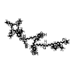 CC(C)(C)OC(=O)CC[C@H](CC(=O)C[C@H](CCCCNC(=O)CCCCC[N+]1=C(/C=C/C=C2/N(CCCCCC(=O)N[C@@H](CCCN=[N+]=[N-])C(=O)Nc3ccc(CC4CN(CC(=O)OC(C)(C)C)CCN(CC(=O)OC(C)(C)C)CCN(CC(=O)OC(C)(C)C)CCN4CC(=O)OC(C)(C)C)cc3)c3ccc(S(=O)(=O)O)cc3C2(C)C)C(C)(C)c2cc(S(=O)(=O)O)ccc21)C(=O)OC(C)(C)C)C(=O)OC(C)(C)C